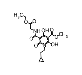 CCOC(=O)CNC(=O)c1c(O)c(C(=O)OC)c(O)n(CCC2CC2)c1=O